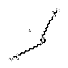 C=CC(=O)OCCCCCCCCCCCn1cc[n+](CCCCCCCCCCCOC(=O)C=C)c1.[Br-]